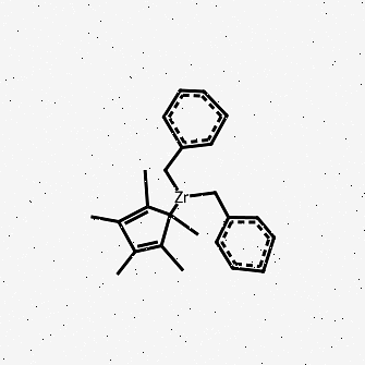 CC1=C(C)[C](C)([Zr]([CH2]c2ccccc2)[CH2]c2ccccc2)C(C)=C1C